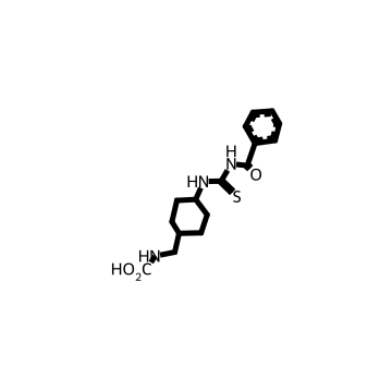 O=C(O)NCC1CCC(NC(=S)NC(=O)c2ccccc2)CC1